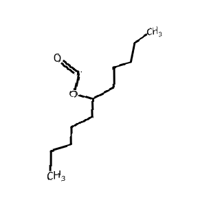 CCCCCC(CCCCC)O[C]=O